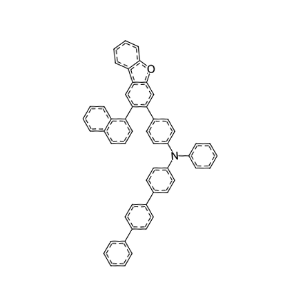 c1ccc(-c2ccc(-c3ccc(N(c4ccccc4)c4ccc(-c5cc6oc7ccccc7c6cc5-c5cccc6ccccc56)cc4)cc3)cc2)cc1